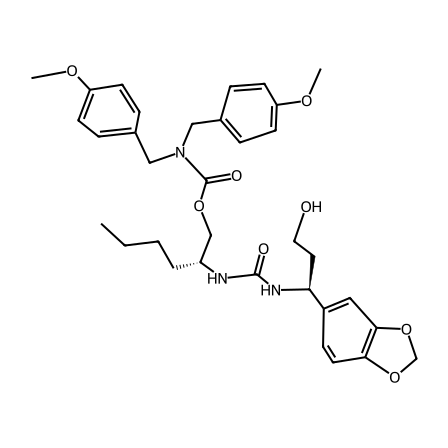 CCCC[C@H](COC(=O)N(Cc1ccc(OC)cc1)Cc1ccc(OC)cc1)NC(=O)N[C@@H](CCO)c1ccc2c(c1)OCO2